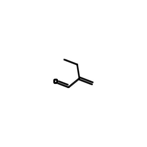 C=C(C=O)CC